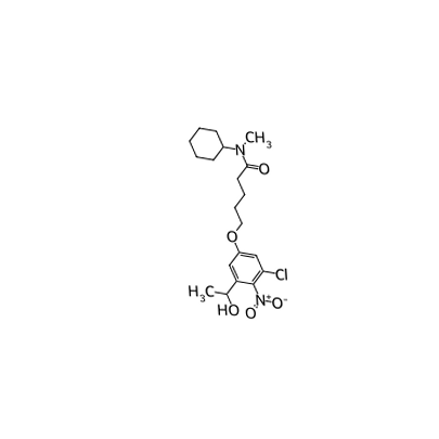 CC(O)c1cc(OCCCCC(=O)N(C)C2CCCCC2)cc(Cl)c1[N+](=O)[O-]